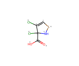 O=C(O)C1(Cl)NSC=C1Cl